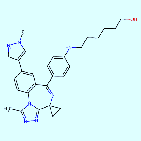 Cc1nnc2n1-c1ccc(-c3cnn(C)c3)cc1C(c1ccc(NCCCCCCO)cc1)=NC21CC1